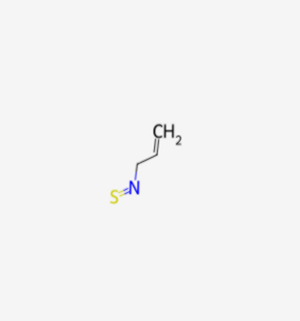 C=CCN=S